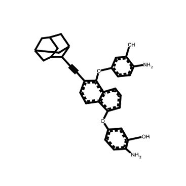 Nc1ccc(Oc2cccc3c(Oc4ccc(N)c(O)c4)c(C#CC4C5CC6CC(C5)CC4C6)ccc23)cc1O